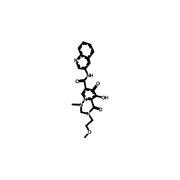 COCCN1CN(C)n2cc(C(=O)Nc3cnc4ccccc4c3)c(=O)c(O)c2C1=O